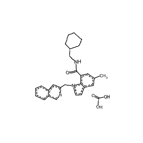 Cc1cc(C(=O)NCC2CCCCC2)c2c(ccn2Cc2cc3ccccc3cn2)c1.O=C(O)O